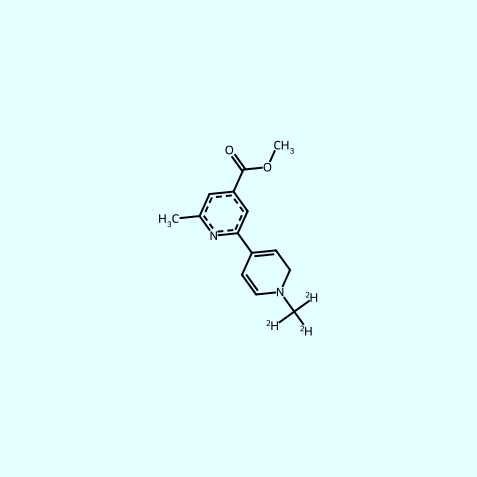 [2H]C([2H])([2H])N1C=CC(c2cc(C(=O)OC)cc(C)n2)=CC1